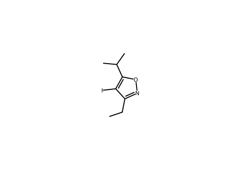 CCc1noc(C(C)C)c1I